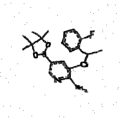 CC(Oc1cc(B2OC(C)(C)C(C)(C)O2)cnc1N)c1ccccc1F